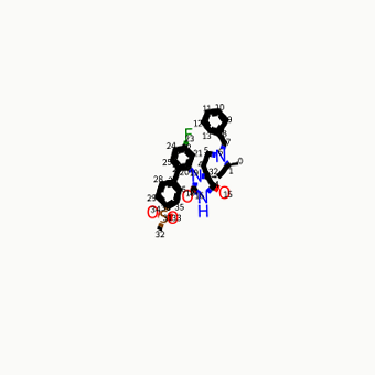 C[C@H]1C[C@]2(CCN1Cc1ccccc1)C(=O)NC(=O)N2c1cc(F)ccc1-c1ccc(S(C)(=O)=O)cc1